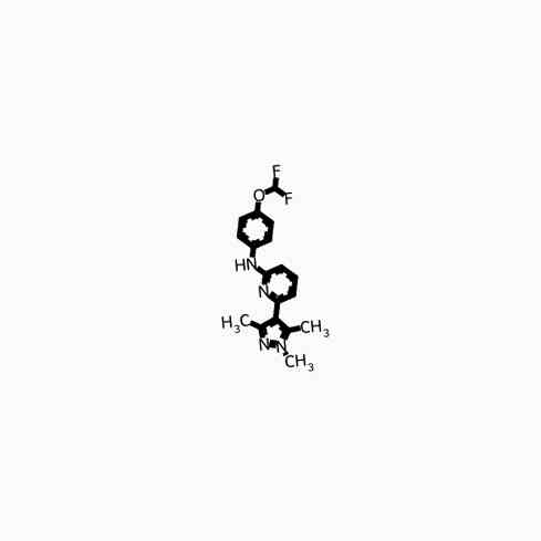 Cc1nn(C)c(C)c1-c1cccc(Nc2ccc(OC(F)F)cc2)n1